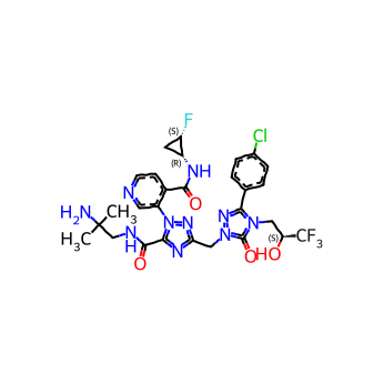 CC(C)(N)CNC(=O)c1nc(Cn2nc(-c3ccc(Cl)cc3)n(C[C@H](O)C(F)(F)F)c2=O)nn1-c1cnccc1C(=O)N[C@@H]1C[C@@H]1F